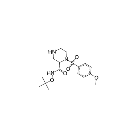 COc1ccc(S(=O)(=O)N2CCNCC2C(=O)NOC(C)(C)C)cc1